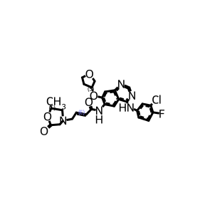 C[C@H]1CN(C/C=C/C(=O)Nc2cc3c(Nc4ccc(F)c(Cl)c4)ncnc3cc2O[C@H]2CCOC2)CC(=O)O1